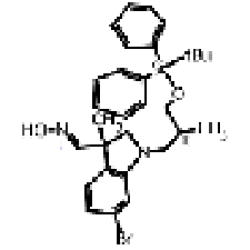 C[C@H](CO[Si](c1ccccc1)(c1ccccc1)C(C)(C)C)CN1CC(C)(/C=N/O)c2ccc(Br)cc21